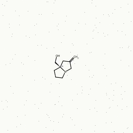 C=C1CN2CCC[C@]2(CO)C1